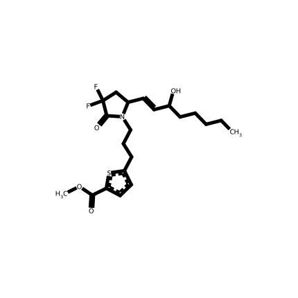 CCCCCC(O)C=CC1CC(F)(F)C(=O)N1CCCc1ccc(C(=O)OC)s1